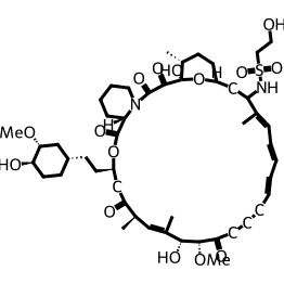 CO[C@@H]1C[C@H](CC[C@@H]2CC(=O)[C@H](C)/C=C(\C)[C@@H](O)[C@@H](OC)C(=O)CCC/C=C/C=C/C=C(\C)C(NS(=O)(=O)CCO)C[C@@H]3CC[C@@H](C)[C@@](O)(O3)C(=O)C(=O)N3CCCC[C@H]3C(=O)O2)CC[C@H]1O